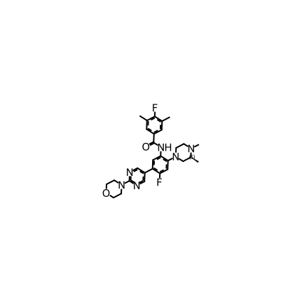 Cc1cc(C(=O)Nc2cc(-c3cnc(N4CCOCC4)nc3)c(F)cc2N2CCN(C)[C@@H](C)C2)cc(C)c1F